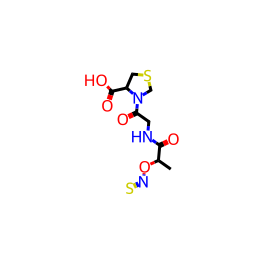 CC(ON=S)C(=O)NCC(=O)N1CSCC1C(=O)O